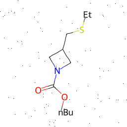 CCCCOC(=O)N1CC(CSCC)C1